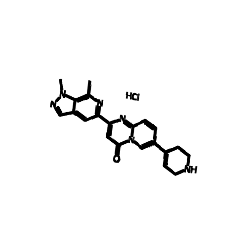 Cc1nc(-c2cc(=O)n3cc(C4=CCNCC4)ccc3n2)cc2cnn(C)c12.Cl